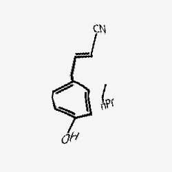 CCCC.N#CC=Cc1ccc(O)cc1